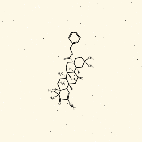 [C-]#[N+]C1=C[C@]2(C)[C@H]3CC(=O)[C@@H]4[C@@H]5CC(C)(C)CC[C@]5(C(=O)OCc5ccccc5)CC[C@@]4(C)[C@]3(C)CC[C@H]2C(C)(C)C1=O